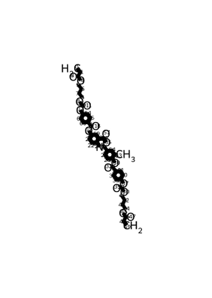 C=CC(=O)OCCCCOC(=O)Oc1ccc(C(=O)Oc2ccc3nc(-c4ccc(OC(=O)c5ccc(OC(=O)OCCCCOC(=O)C=C)cc5)c(C)c4)oc(=O)c3c2)cc1